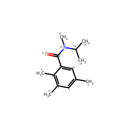 Cc1cc(C)c(C)c(C(=O)N(C)C(C)C)c1